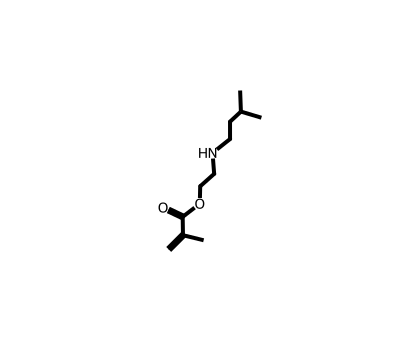 C=C(C)C(=O)OCCNCCC(C)C